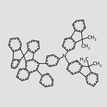 CC1(C)c2ccccc2-c2ccc(N(c3ccc(-c4c5c(c6ccccc6c4-c4ccccc4)C4(c6ccccc6-c6ccccc64)c4ccccc4-5)cc3)c3ccc4c(c3)C(C)(C)c3ccccc3-4)cc21